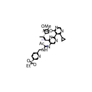 CCS(=O)(=O)c1ccc(CN/C(=N/c2cnc(-c3c(OC)ncnc3C3CC3)nc2/C=C(/C)[C@H]2C[C@H](OC)C2)C(C)=O)nc1